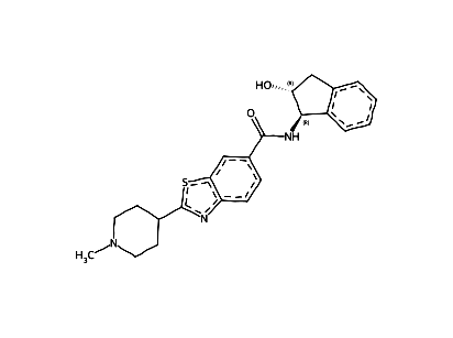 CN1CCC(c2nc3ccc(C(=O)N[C@@H]4c5ccccc5C[C@H]4O)cc3s2)CC1